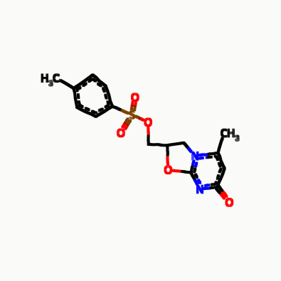 Cc1ccc(S(=O)(=O)OCC2Cn3c(C)cc(=O)nc3O2)cc1